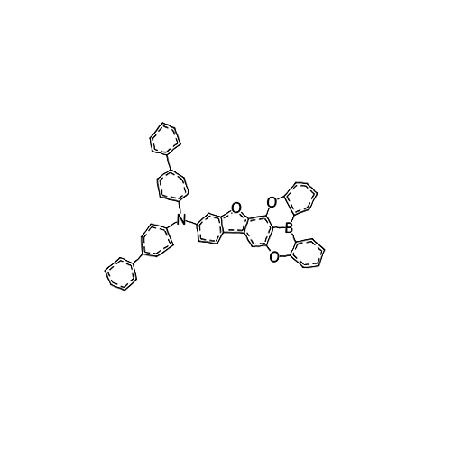 c1ccc(-c2ccc(N(c3ccc(-c4ccccc4)cc3)c3ccc4c(c3)oc3c5c6c(cc34)Oc3ccccc3B6c3ccccc3O5)cc2)cc1